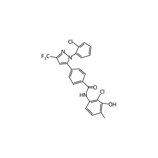 Cc1ccc(NC(=O)c2ccc(-c3cc(C(F)(F)F)nn3-c3ccccc3Cl)cc2)c(Cl)c1O